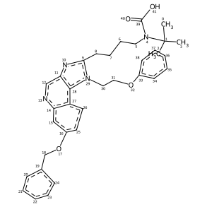 CC(C)(C)N(CCCCc1nc2cnc3cc(OCc4ccccc4)ccc3c2n1CCOc1ccccc1)C(=O)O